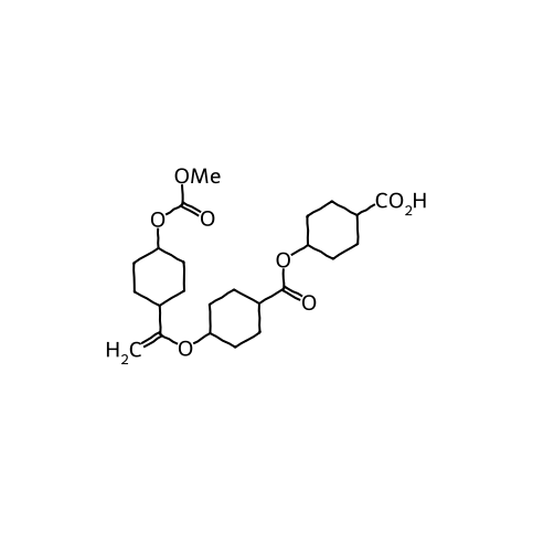 C=C(OC1CCC(C(=O)OC2CCC(C(=O)O)CC2)CC1)C1CCC(OC(=O)OC)CC1